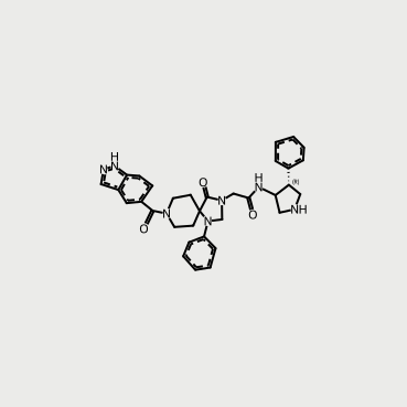 O=C(CN1CN(c2ccccc2)C2(CCN(C(=O)c3ccc4[nH]ncc4c3)CC2)C1=O)NC1CNC[C@H]1c1ccccc1